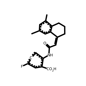 Cc1cc(C)c2c(c1)/C(=C\C(=O)Nc1ccc(F)cc1C(=O)O)CCC2